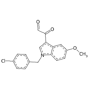 COc1ccc2c(c1)c(C(=O)C=O)cn2Cc1ccc(Cl)cc1